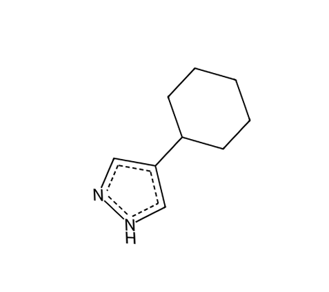 c1n[nH]cc1C1CCCCC1